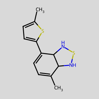 CC1=CC=C(c2ccc(C)s2)C2NSNC12